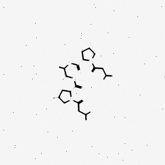 CC(C)CC(=O)N1C[C@@H](C)C[C@H]1C(=N)NC(C)[C@H](C)NC(=N)[C@@H]1C[C@H](C)CN1C(=O)CC(C)C